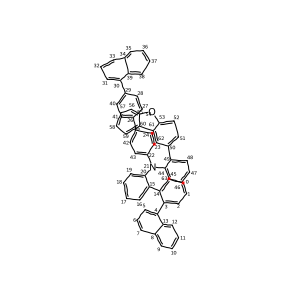 c1ccc(-c2cccc3ccccc23)c(-c2ccccc2N(c2ccc(-c3ccc(-c4cccc5ccccc45)cc3)cc2)c2ccccc2-c2ccc3oc4ccccc4c3c2)c1